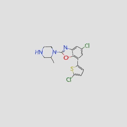 CC1CNCCN1c1nc2cc(Cl)cc(-c3ccc(Cl)s3)c2o1